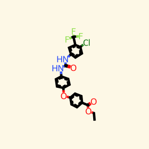 CCOC(=O)c1ccc(Oc2ccc(NC(=O)Nc3ccc(Cl)c(C(F)(F)F)c3)cc2)cc1